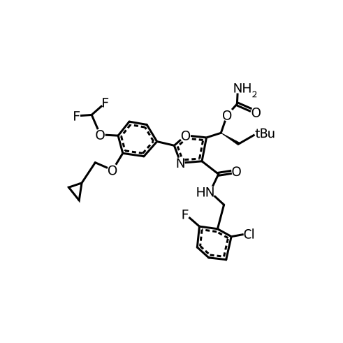 CC(C)(C)C[C@H](OC(N)=O)c1oc(-c2ccc(OC(F)F)c(OCC3CC3)c2)nc1C(=O)NCc1c(F)cccc1Cl